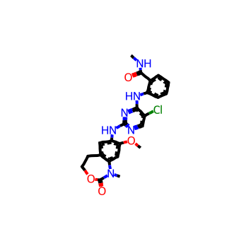 CNC(=O)c1ccccc1Nc1nc(Nc2cc3c(cc2OC)N(C)C(=O)OCC3)ncc1Cl